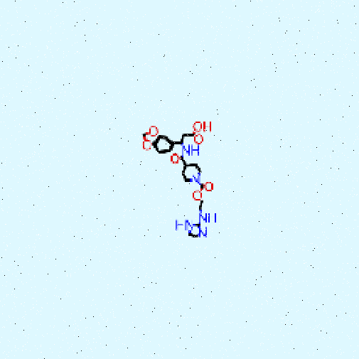 O=C(O)CC(NC(=O)C1CCN(C(=O)OCCNC2=NCCN2)CC1)c1ccc2c(c1)OCO2